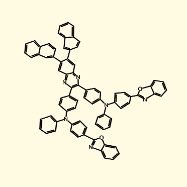 c1ccc(N(c2ccc(-c3nc4ccccc4o3)cc2)c2ccc(-c3nc4cc(-c5ccc6ccccc6c5)c(-c5ccc6ccccc6c5)cc4nc3-c3ccc(N(c4ccccc4)c4ccc(-c5nc6ccccc6o5)cc4)cc3)cc2)cc1